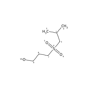 CC(C)CS(=O)(=O)CCC[O]